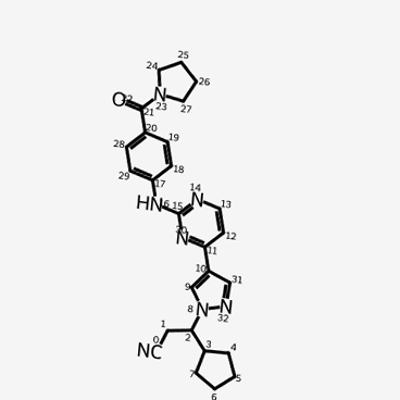 N#CCC(C1CCCC1)n1cc(-c2ccnc(Nc3ccc(C(=O)N4CCCC4)cc3)n2)cn1